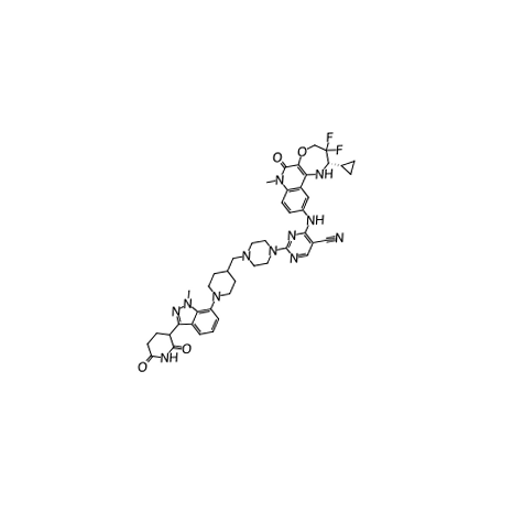 Cn1nc(C2CCC(=O)NC2=O)c2cccc(N3CCC(CN4CCN(c5ncc(C#N)c(Nc6ccc7c(c6)c6c(c(=O)n7C)OCC(F)(F)[C@H](C7CC7)N6)n5)CC4)CC3)c21